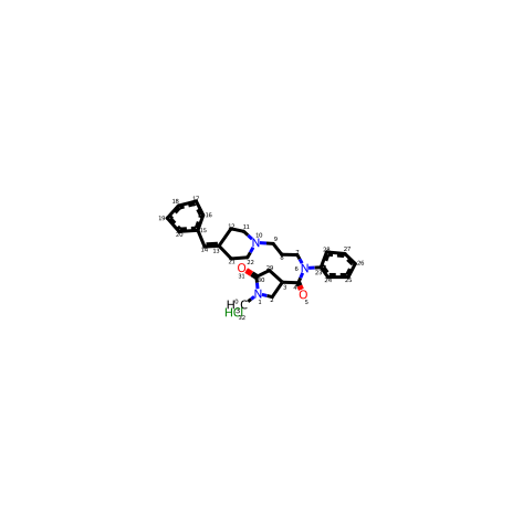 CN1CC(C(=O)N(CCCN2CCC(=Cc3ccccc3)CC2)c2ccccc2)CC1=O.Cl